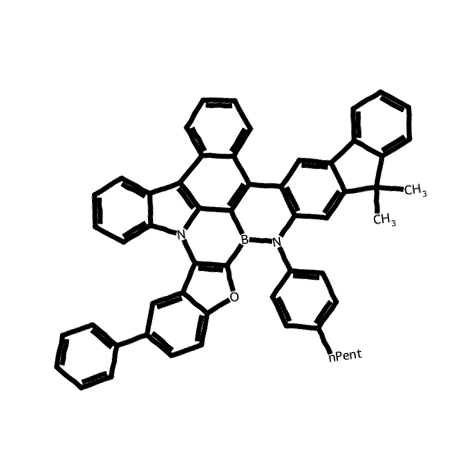 CCCCCc1ccc(N2B3c4oc5ccc(-c6ccccc6)cc5c4-n4c5ccccc5c5c6ccccc6c(c3c54)-c3cc4c(cc32)C(C)(C)c2ccccc2-4)cc1